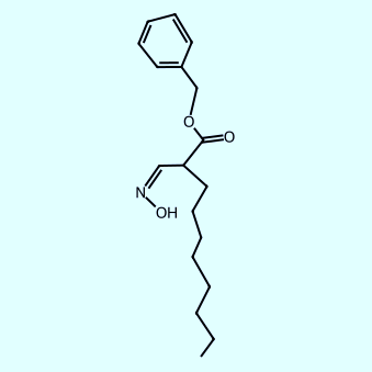 CCCCCCCCC(/C=N\O)C(=O)OCc1ccccc1